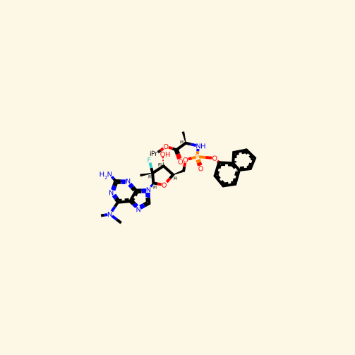 CC(C)OC(=O)[C@@H](C)NP(=O)(OC[C@H]1O[C@@H](n2cnc3c(N(C)C)nc(N)nc32)[C@](C)(F)[C@@H]1O)Oc1cccc2ccccc12